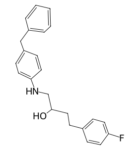 OC(CCc1ccc(F)cc1)CNc1ccc(Cc2ccccc2)cc1